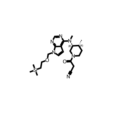 C[C@@H]1CCN(C(=O)CC#N)C[C@@H]1N(C)c1ncnc2c1ccn2COCC[Si](C)(C)C